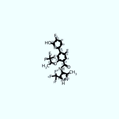 Cc1n[nH]c(C(F)(F)F)c1NC(=O)c1cc(F)c(-c2ccc(F)c(O)n2)cc1OC(C)C(F)(F)F